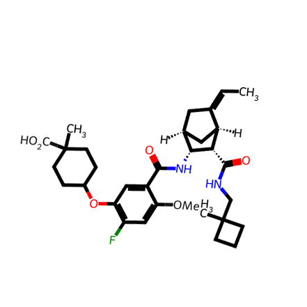 C/C=C1/C[C@H]2C[C@@H]1[C@H](C(=O)NCC1(C)CCC1)[C@@H]2NC(=O)c1cc(OC2CCC(C)(C(=O)O)CC2)c(F)cc1OC